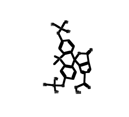 CC(C)[Si](Oc1ccc2c(c1)[Si](C)(C)c1cc(O[Si](C(C)C)(C(C)C)C(C)C)ccc1C21OC(=O)c2ccc(C(=O)OC(C)(C)C)cc21)(C(C)C)C(C)C